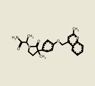 Cc1cc(COc2ccc(C3(C)CCN(C(C)C(N)=O)C3=O)cc2)c2ccccc2n1